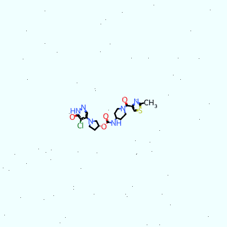 Cc1nc(C(=O)N2CCC(NC(=O)O[C@@H]3CCN(c4cn[nH]c(=O)c4Cl)C3)CC2)cs1